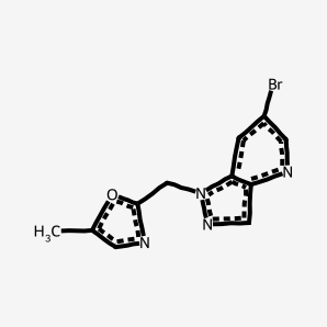 Cc1cnc(Cn2ncc3ncc(Br)cc32)o1